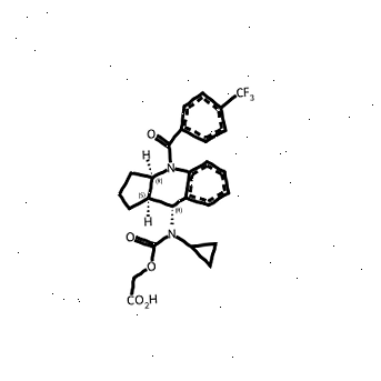 O=C(O)COC(=O)N(C1CC1)[C@H]1c2ccccc2N(C(=O)c2ccc(C(F)(F)F)cc2)[C@@H]2CCC[C@@H]21